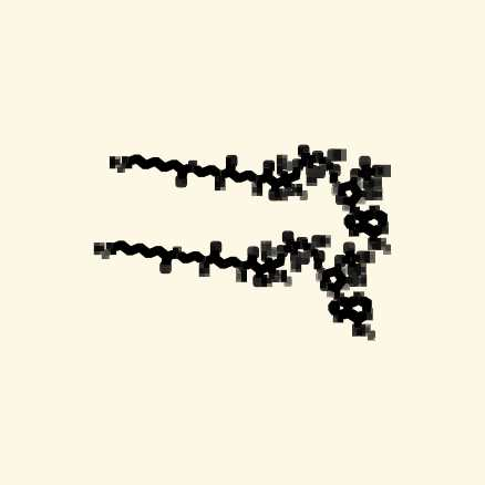 CC(C)(COP(=O)(O)OP(=O)(O)OC[C@H]1O[C@@H](n2cnc3c(N)ncnc32)[C@H](O)[C@@H]1OP(=O)(O)O)C(O)C(=O)NCCC(=O)NCCSC(=O)CCCCCN.CC(C)(COP(=O)(O)OP(=O)(O)OC[C@H]1O[C@@H](n2cnc3c(N)ncnc32)[C@H](O)[C@@H]1OP(=O)(O)O)C(O)C(=O)NCCC(=O)NCCSC(=O)CCCCCN